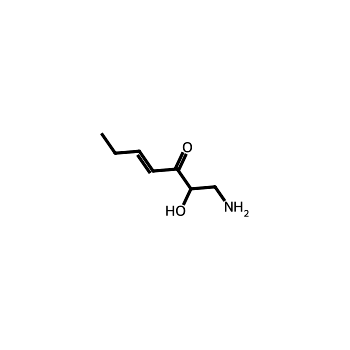 CC/C=C/C(=O)C(O)CN